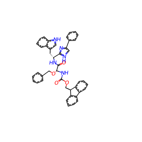 O=C(NC(OCc1ccccc1)C(=O)N[C@H](Cc1c[nH]c2ccccc12)c1nc(-c2ccccc2)c[nH]1)OCC1c2ccccc2-c2ccccc21